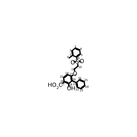 Cc1ccccc1S(=O)(=O)CCOc1ccc(C(=O)O)c(O)c1-c1ccccc1